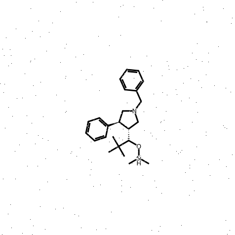 C[SiH](C)OC([C@H]1CN(Cc2ccccc2)C[C@@H]1c1ccccc1)C(C)(C)C